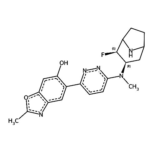 Cc1nc2cc(-c3ccc(N(C)[C@@H]4CC5CCC(N5)[C@@H]4F)nn3)c(O)cc2o1